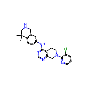 CC1(C)CNCc2cc(Nc3ncnc4c3CCN(c3ncccc3Cl)C4)ccc21